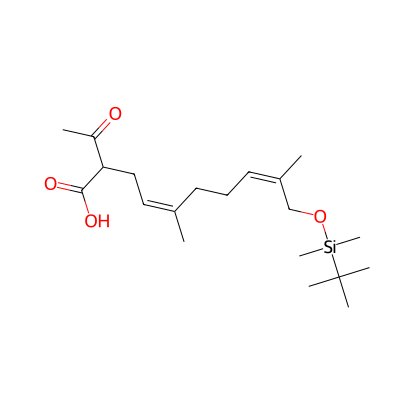 CC(=O)C(CC=C(C)CCC=C(C)CO[Si](C)(C)C(C)(C)C)C(=O)O